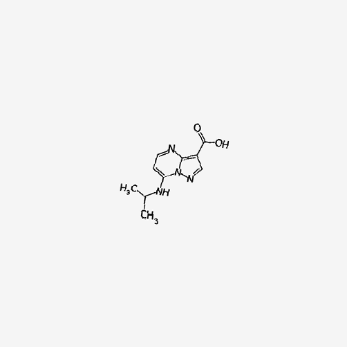 CC(C)Nc1ccnc2c(C(=O)O)cnn12